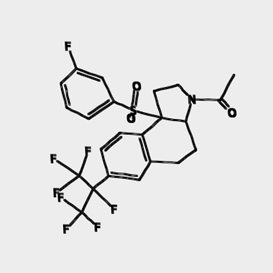 CC(=O)N1CCC2(S(=O)(=O)c3cccc(F)c3)c3ccc(C(F)(C(F)(F)F)C(F)(F)F)cc3CCC12